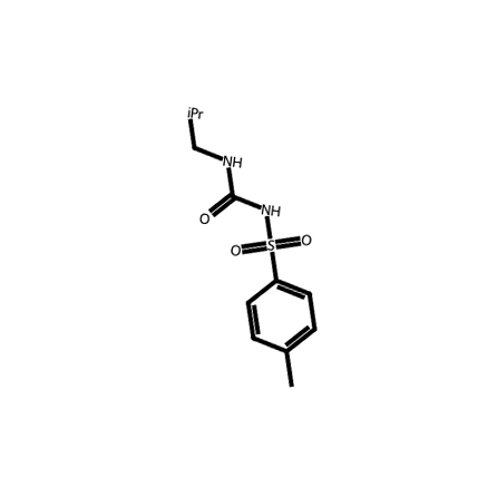 Cc1ccc(S(=O)(=O)NC(=O)NCC(C)C)cc1